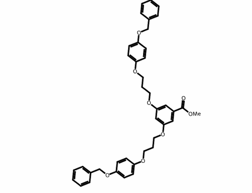 COC(=O)c1cc(OCCCOc2ccc(OCc3ccccc3)cc2)cc(OCCCOc2ccc(OCc3ccccc3)cc2)c1